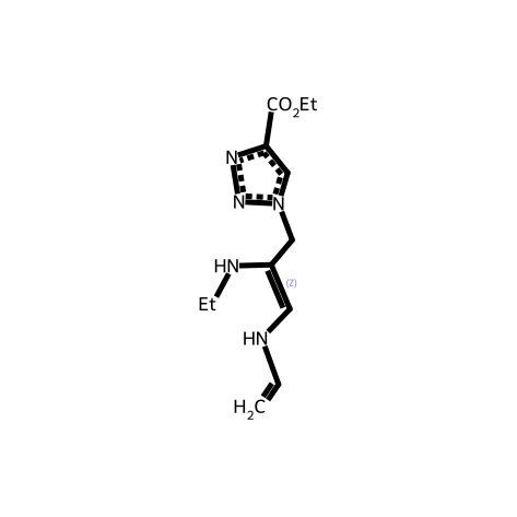 C=CN/C=C(/Cn1cc(C(=O)OCC)nn1)NCC